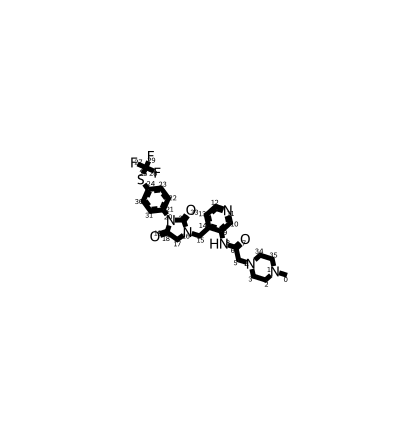 CN1CCN(CC(=O)Nc2cnccc2CN2CC(=O)N(c3ccc(SC(F)(F)F)cc3)C2=O)CC1